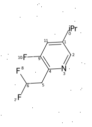 CC(C)c1cnc(CC(F)F)c(F)c1